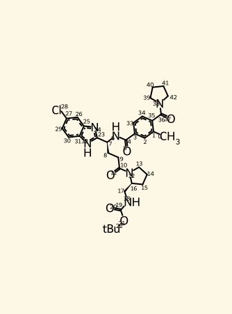 Cc1cc(C(=O)N[C@@H](CCC(=O)N2CCC[C@H]2CNC(=O)OC(C)(C)C)c2nc3cc(Cl)ccc3[nH]2)ccc1C(=O)N1CCCC1